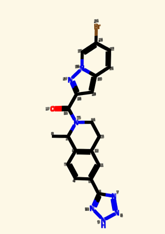 CC1c2ccc(-c3nn[nH]n3)cc2CCN1C(=O)c1cc2ccc(Br)cn2n1